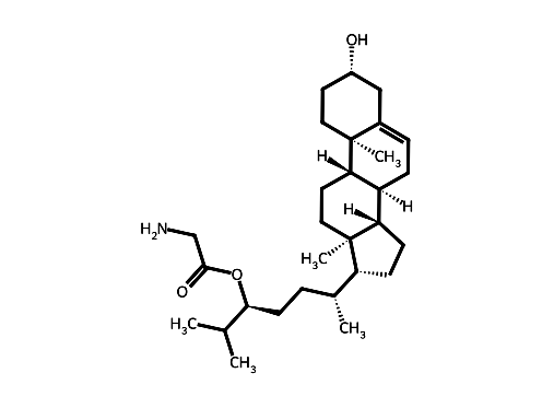 CC(C)[C@H](CC[C@@H](C)[C@H]1CC[C@H]2[C@@H]3CC=C4C[C@@H](O)CC[C@]4(C)[C@H]3CC[C@]12C)OC(=O)CN